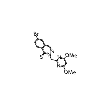 COc1cc(OC)nc(Cn2ncc3cc(Br)ccc3c2=S)n1